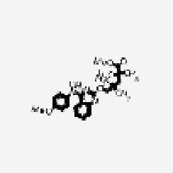 COC(=O)C(C)(C)CC(C)(C)COc1nc(N(C)c2ccc(OC)cc2)c2ccccc2n1